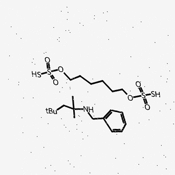 CC(C)(C)CC(C)(C)NCc1ccccc1.O=S(=O)(S)OCCCCCCOS(=O)(=O)S